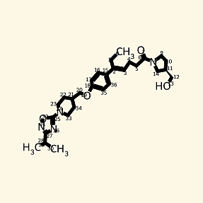 CC/C(=C\CCC(=O)N1CC[C@@H](CO)C1)c1ccc(OCC2CCN(c3nc(C(C)C)no3)CC2)cc1